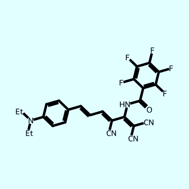 CCN(CC)c1ccc(/C=C/C=C(\C#N)C(NC(=O)c2c(F)c(F)c(F)c(F)c2F)=C(C#N)C#N)cc1